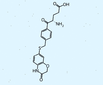 N[C@@H](CCC(=O)O)C(=O)c1ccc(CSc2ccc3c(c2)OCC(=O)N3)cc1